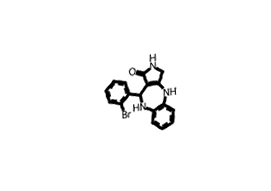 O=C1NCC2=C1C(c1ccccc1Br)Nc1ccccc1N2